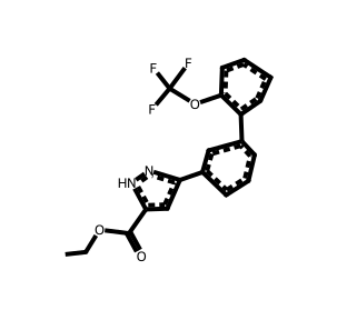 CCOC(=O)c1cc(-c2cccc(-c3ccccc3OC(F)(F)F)c2)n[nH]1